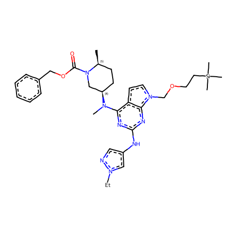 CCn1cc(Nc2nc(N(C)[C@@H]3CC[C@H](C)N(C(=O)OCc4ccccc4)C3)c3ccn(COCC[Si](C)(C)C)c3n2)cn1